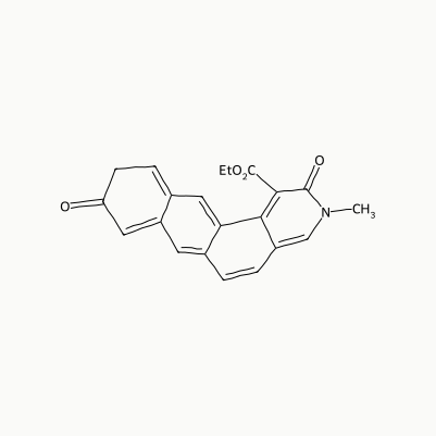 CCOC(=O)c1c(=O)n(C)cc2ccc3cc4c(cc3c12)=CCC(=O)C=4